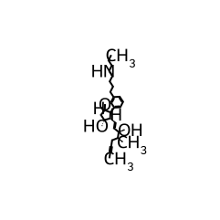 CC#CC[C@H](C)[C@H](O)/C=C/[C@@H]1[C@H]2c3cccc(CCCCNCCC)c3O[C@H]2C[C@H]1O